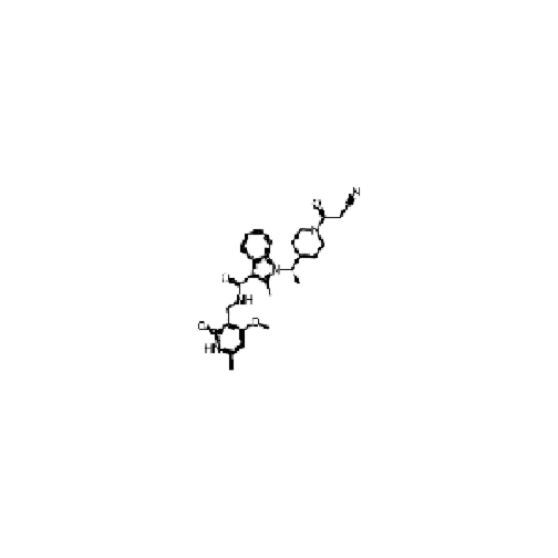 COc1cc(C)[nH]c(=O)c1CNC(=O)c1c(C)n([C@H](C)C2CCN(C(=O)CC#N)CC2)c2ccccc12